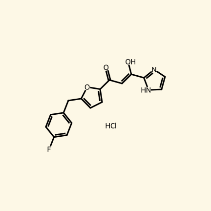 Cl.O=C(C=C(O)c1ncc[nH]1)c1ccc(Cc2ccc(F)cc2)o1